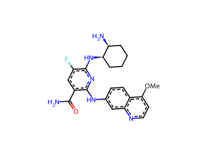 COc1ccnc2cc(Nc3nc(N[C@@H]4CCCC[C@@H]4N)c(F)cc3C(N)=O)ccc12